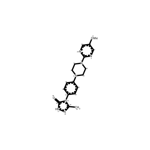 COc1cnc(N2CCN(c3ccc(-n4c(C)n[nH]c4=O)cc3)CC2)nc1